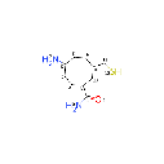 NC(=O)C1CCC(N)CCC(CS)C1